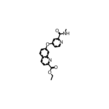 CCOC(=O)c1ccc2ccc(Oc3ccnc(C(=O)NC)c3)cc2n1